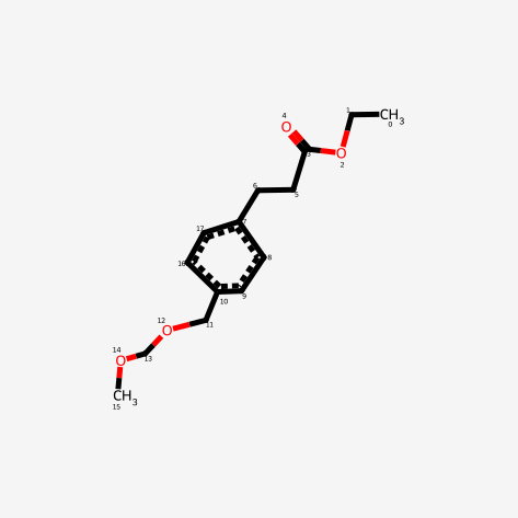 CCOC(=O)CCc1ccc(COCOC)cc1